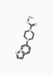 CC(C)(C)OC(=O)N1CCN(c2ccc3ccnn3c2)CC1